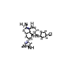 CN/C=C(\C=N)c1ccc2c(c1)C(Nc1ccc(Cl)cc1)CCN/C2=C(/C)N